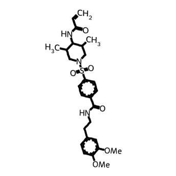 C=CC(=O)NC1C(C)CN(S(=O)(=O)c2ccc(C(=O)NCCc3ccc(OC)c(OC)c3)cc2)CC1C